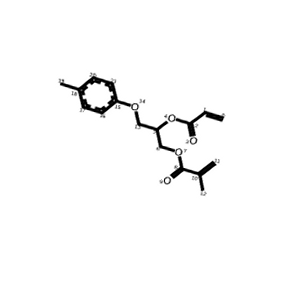 C=CC(=O)OC(COC(=O)C(=C)C)COc1ccc(C)cc1